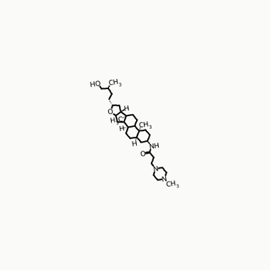 C[C@H](CO)CC[C@@H]1C[C@H]2C(CC3[C@@H]4CC[C@@H]5C[C@H](NC(=O)CCN6CCN(C)CC6)CC[C@]5(C)C4CC[C@@]32C)O1